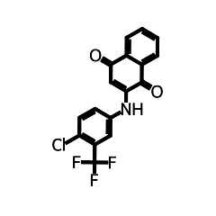 O=C1C=C(Nc2ccc(Cl)c(C(F)(F)F)c2)C(=O)c2ccccc21